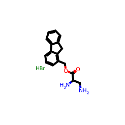 Br.NCC(N)C(=O)OCc1cccc2c1Cc1ccccc1-2